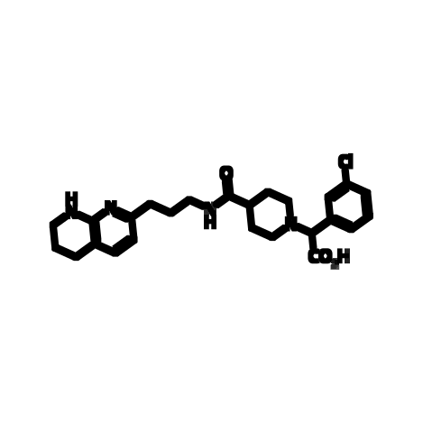 O=C(NCCCc1ccc2c(n1)NCCC2)C1CCN(C(C(=O)O)c2cccc(Cl)c2)CC1